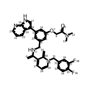 C=C(NCc1cc(OCC(=O)N(C)C)cc(-c2c[nH]c3ncccc23)c1)C1=CC=CN(Cc2ccc(F)c(F)c2)C1=C